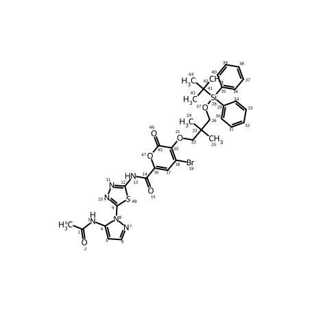 CC(=O)Nc1ccnn1-c1nnc(NC(=O)c2cc(Br)c(OCC(C)(C)CO[Si](c3ccccc3)(c3ccccc3)C(C)(C)C)c(=O)o2)s1